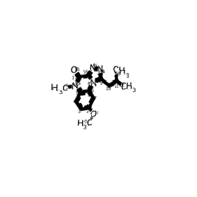 COc1ccc2c(c1)n1c(CC(C)C)nnc1c(=O)n2C